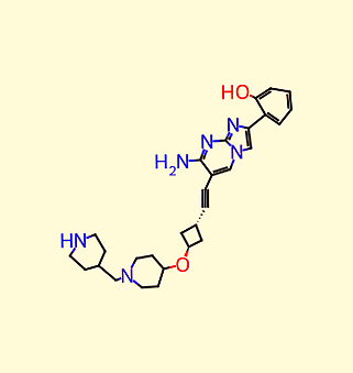 Nc1nc2nc(-c3ccccc3O)cn2cc1C#C[C@H]1C[C@H](OC2CCN(CC3CCNCC3)CC2)C1